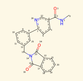 CNC(=O)c1ccc(-c2cccc(CN3C(=O)c4ccccc4C3=O)c2)nc1